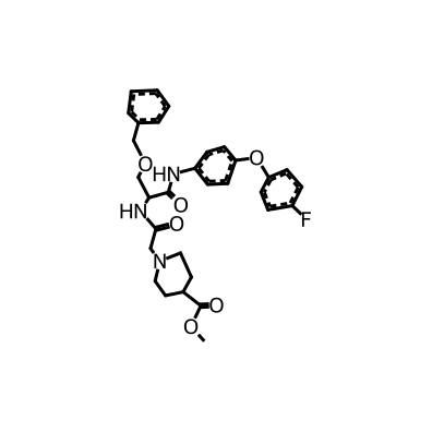 COC(=O)C1CCN(CC(=O)NC(COCc2ccccc2)C(=O)Nc2ccc(Oc3ccc(F)cc3)cc2)CC1